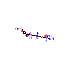 NCC[C@H](NC(=O)CCCCCNC(=O)CCCCCNC(=O)c1cccc(-c2ccc(OCC=O)cc2)c1)C(N)=O